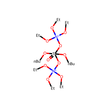 CCCC[O][Ti](=[O])([O]CCCC)([O][N+](OCC)(OCC)OCC)[O][N+](OCC)(OCC)OCC